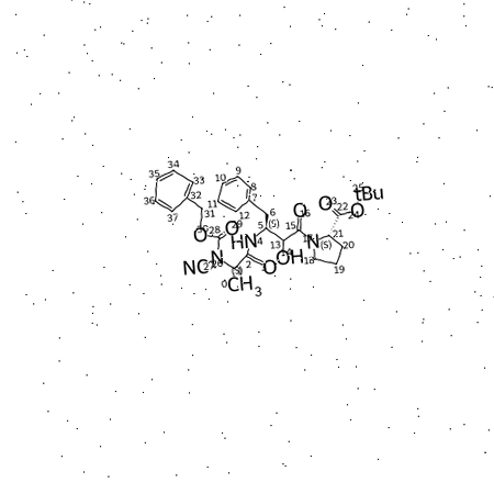 C[C@@H](C(=O)N[C@@H](Cc1ccccc1)C(O)C(=O)N1CCC[C@H]1C(=O)OC(C)(C)C)N(C#N)C(=O)OCc1ccccc1